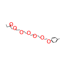 CCC(=O)COCCOCCOCCOCCOCCOc1ccc(C)cc1